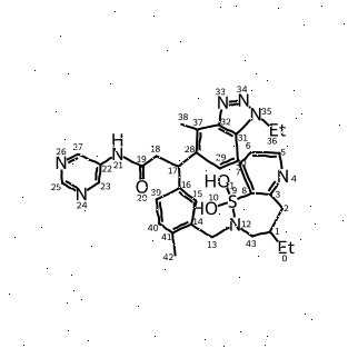 CCC1Cc2ncccc2S(O)(O)N(Cc2cc(C(CC(=O)Nc3cncnc3)c3ccc4c(nnn4CC)c3C)ccc2C)C1